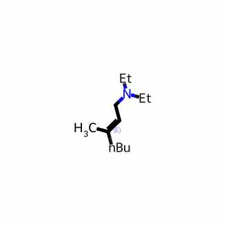 CCCC/C(C)=C/CN(CC)CC